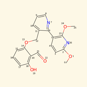 COc1ccc(-c2ncccc2COc2cccc(O)c2C=O)c(OC)n1